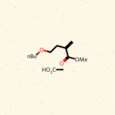 C=C(CCOCCCC)C(=O)OC.CC(=O)O